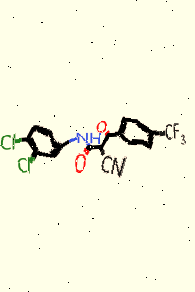 N#CC(C(=O)Nc1ccc(Cl)c(Cl)c1)C(=O)c1ccc(C(F)(F)F)cc1